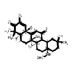 CC1(C)CC[C@]2(NC=O)CC[C@]3(C)C(C(=O)C=C4[C@@]5(C)C=C(C#N)C(=O)C(C)(C)[C@@H]5CC[C@]43C)C2C1